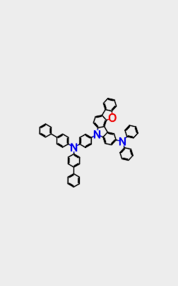 c1ccc(-c2ccc(N(c3ccc(-c4ccccc4)cc3)c3ccc(-n4c5ccc(N(c6ccccc6)c6ccccc6)cc5c5c6oc7ccccc7c6ccc54)cc3)cc2)cc1